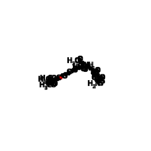 CC(=O)CCC(NC(=O)CCSC1CC(=O)N(CCC(=O)C2(C(N)=O)SS2)C1=O)C(=O)NCCOCCOCCOCCOCCC(=O)C(C(C)=O)(C(C)=O)C(C)=O